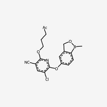 CB1OCc2cc(Oc3nc(OCCCC(C)=O)c(C#N)cc3Cl)ccc21